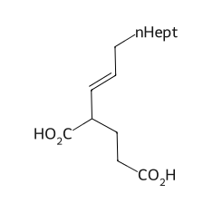 CCCCCCCC/C=C/C(CCC(=O)O)C(=O)O